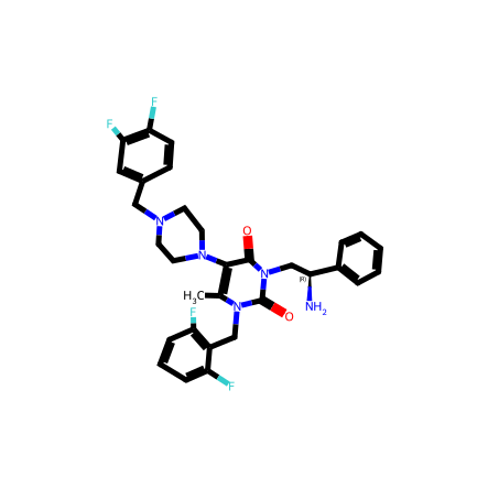 Cc1c(N2CCN(Cc3ccc(F)c(F)c3)CC2)c(=O)n(C[C@H](N)c2ccccc2)c(=O)n1Cc1c(F)cccc1F